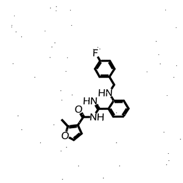 Cc1occc1C(=O)NC(=N)c1ccccc1NCc1ccc(F)cc1